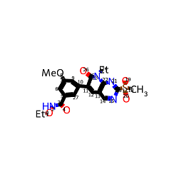 CCONC(=O)c1cc(OC)cc(-c2cc3cnc(S(C)(=O)=O)nc3n(CC)c2=O)c1